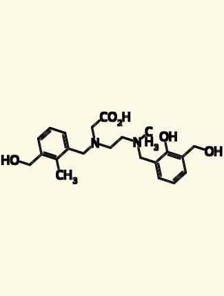 Cc1c(CO)cccc1CN(CCN(C)Cc1cccc(CO)c1O)CC(=O)O